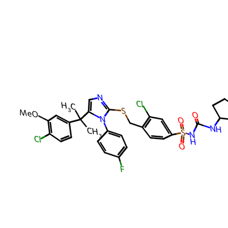 COc1cc(C(C)(C)c2cnc(SCc3ccc(S(=O)(=O)NC(=O)NC4CCCC4)cc3Cl)n2-c2ccc(F)cc2)ccc1Cl